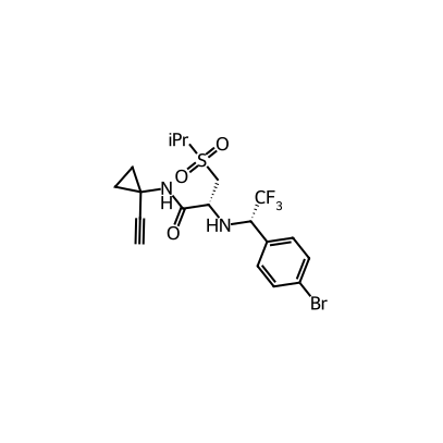 C#CC1(NC(=O)[C@H](CS(=O)(=O)C(C)C)N[C@@H](c2ccc(Br)cc2)C(F)(F)F)CC1